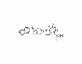 O=C(NO)c1ccc(N2CCN(S(=O)(=O)c3ccc4ccccc4c3)CC2)cc1C(F)(F)F